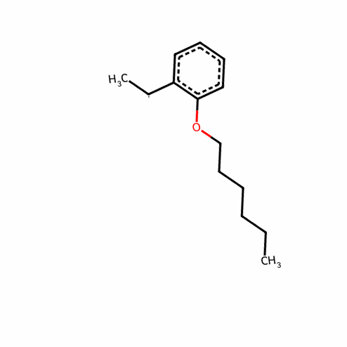 C[CH]c1ccccc1OCCCCCC